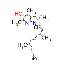 Cc1nc2c(c(C)c1O)CC(C)(CCC[C@H](C)/C=C/C[C@H](C)CCCC(C)C)N2C